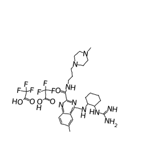 Cc1ccc2nc(C(=O)NCCCN3CCN(C)CC3)nc(NC3CCCCC3NC(=N)N)c2c1.O=C(O)C(F)(F)F.O=C(O)C(F)(F)F